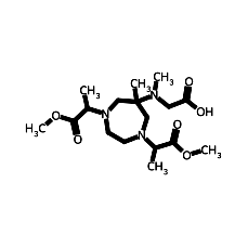 COC(=O)C(C)N1CCN(C(C)C(=O)OC)CC(C)(N(C)CC(=O)O)C1